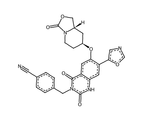 N#Cc1ccc(Cn2c(=O)[nH]c3cc(-c4cnco4)c(O[C@H]4CCN5C(=O)OC[C@@H]5C4)cc3c2=O)cc1